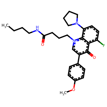 CCCCNC(=O)CCCn1cc(-c2ccc(OC)cc2)c(=O)c2c(F)ccc(N3CCCC3)c21